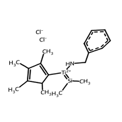 CC1=C(C)C(C)[C]([Ti+2]([NH]Cc2ccccc2)=[Si](C)C)=C1C.[Cl-].[Cl-]